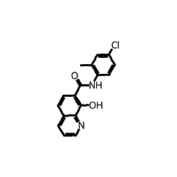 Cc1cc(Cl)ccc1NC(=O)c1ccc2cccnc2c1O